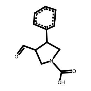 O=CC1CN(C(=O)O)CC1c1ccccc1